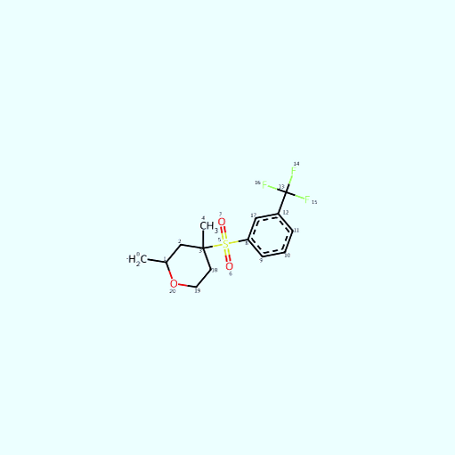 [CH2]C1CC(C)(S(=O)(=O)c2cccc(C(F)(F)F)c2)CCO1